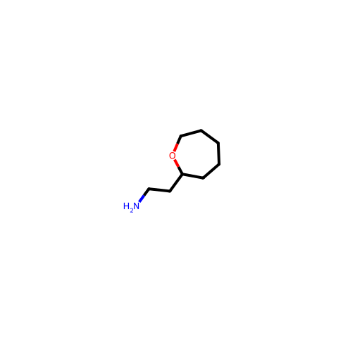 NCCC1CCCCCO1